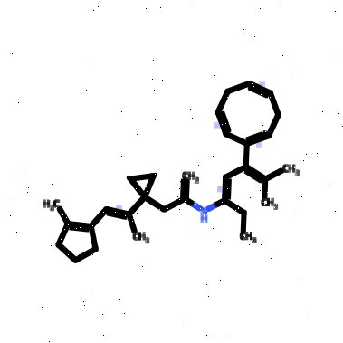 C=C(CC1(/C(C)=C/C2=C(C)CCC2)CC1)N/C(=C/C(=C(C)C)C1=C/C/C=C\C/C=C\1)CC